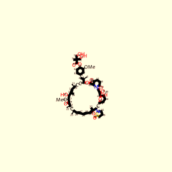 CO[C@@H]1C[C@H](C[C@@H](C)[C@@H]2CC[C@H](C)/C=C(\C)[C@@H](O)[C@@H](OC)C(=O)[C@H](C)C[C@H](C)/C=C/C=C/C=C(\C)C(N3CCCS3(=O)=O)C[C@@H]3CC[C@@H](C)[C@@](O)(O3)C(=O)C(=O)N3CCCC[C@H]3C(=O)O2)CC[C@H]1OC(=O)C(C)(CO)CO